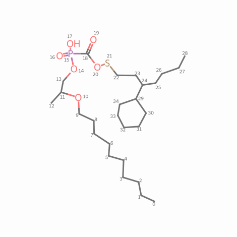 CCCCCCCCCCOC(C)COP(=O)(O)C(=O)OSCCC(CCCC)C1CCCCC1